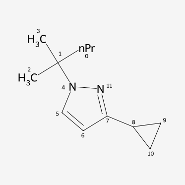 CCCC(C)(C)n1ccc(C2CC2)n1